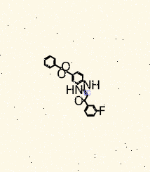 O=C(/C=C1/Nc2ccc(C3OC(c4ccccc4)O3)cc2N1)c1cccc(F)c1